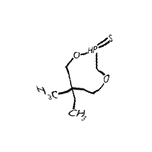 CC1(C)CO[PH](=S)OC1